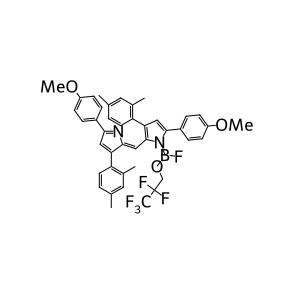 COc1ccc(C2=N/C(=C\c3c(-c4ccc(C)cc4C)cc(-c4ccc(OC)cc4)n3B(F)OCC(F)(F)C(F)(F)F)C(c3ccc(C)cc3C)=C2)cc1